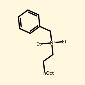 CCCCCCCCCC[N+](CC)(CC)Cc1ccccc1